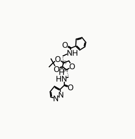 CC1(C)O[C@@H]2[C@@H](CNC(=O)c3cccnn3)OC[C@]2(CNC(=O)c2ccccc2)O1